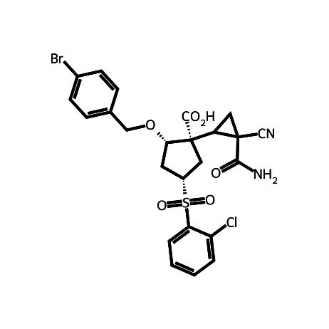 N#CC1(C(N)=O)CC1[C@@]1(C(=O)O)C[C@H](S(=O)(=O)c2ccccc2Cl)C[C@@H]1OCc1ccc(Br)cc1